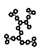 c1ccc(-c2cc(-c3ccc(-n4c5ccccc5c5ccccc54)cc3)cc(-c3cc(-c4ccc(-n5c6ccccc6c6ccccc65)cc4)cc(-c4cccc(-c5cccc(-c6cc(-c7ccc(-n8c9ccccc9c9ccccc98)cc7)cc(-c7cccc(-c8ccc(-n9c%10ccccc%10c%10ccccc%109)cc8)c7)c6)c5)c4)c3)c2)cc1